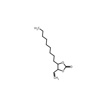 C=CC1OC(=O)OC1CCCCCCCCC